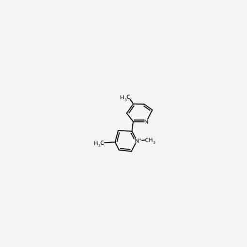 Cc1ccnc(-c2cc(C)cc[n+]2C)c1